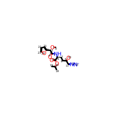 CO[C@H](C(=O)N[C@@H](CCC(=O)C=[N+]=[N-])C(=O)OC(C)C)c1ccco1